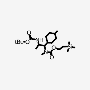 CC1CCC(C(C(C)NC(=O)OC(C)(C)C)N(C)C(=O)OCC[Si](C)(C)C)CC1